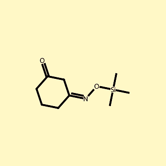 C[Si](C)(C)O/N=C1/CCCC(=O)C1